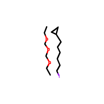 CCOCOCOCC.ICCCCCCC1CC1